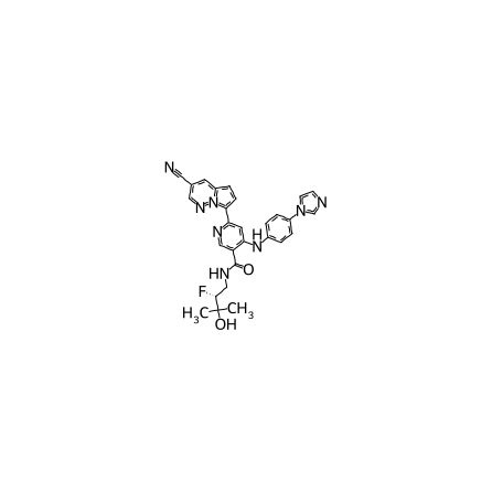 CC(C)(O)[C@H](F)CNC(=O)c1cnc(-c2ccc3cc(C#N)cnn23)cc1Nc1ccc(-n2ccnc2)cc1